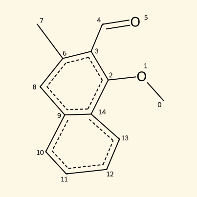 COc1c(C=O)c(C)cc2ccccc12